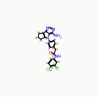 Nc1ncnc2c3c(n(-c4ccc(CC(=O)Nc5ccc(Cl)c(Cl)c5)cc4)c12)CCC3